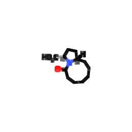 O=C(O)[C@@H]1CC[C@@H]2CCCCCCC(=O)N21